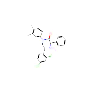 Cc1ccc(N(CCc2ccc(Cl)cc2F)C(=O)C(N)c2ccccc2)cc1C